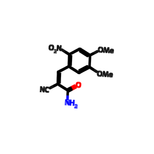 COc1cc(/C=C(/C#N)C(N)=O)c([N+](=O)[O-])cc1OC